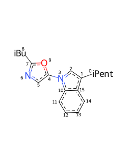 CCCC(C)c1cn(-c2cnc(C(C)CC)o2)c2ccccc12